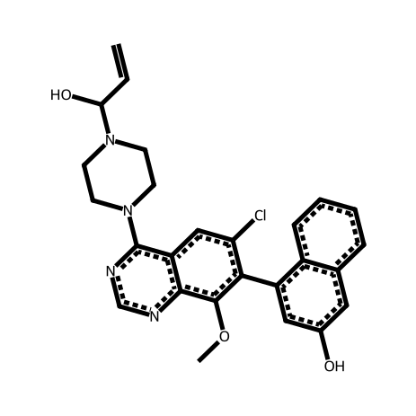 C=CC(O)N1CCN(c2ncnc3c(OC)c(-c4cc(O)cc5ccccc45)c(Cl)cc23)CC1